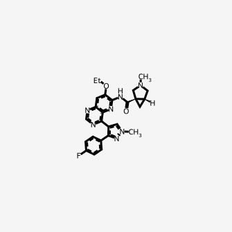 CCOc1cc2ncnc(-c3cn(C)nc3-c3ccc(F)cc3)c2nc1NC(=O)[C@]12C[C@H]1CN(C)C2